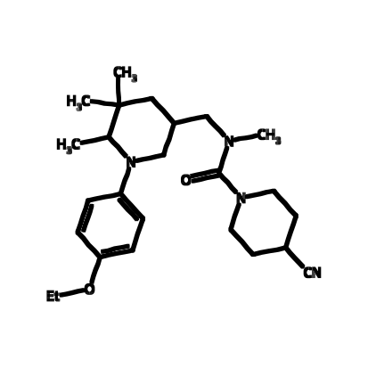 CCOc1ccc(N2CC(CN(C)C(=O)N3CCC(C#N)CC3)CC(C)(C)C2C)cc1